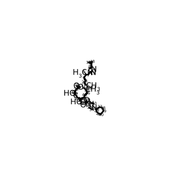 C/C(=C\C=C\[C@@H](C)Cn1cc(C2CC2)nn1)[C@H]1OC(=O)C[C@H](O)CC[C@@](C)(O)[C@@H](OC(=O)N2CCN(C3CCCCCC3)CC2)/C=C/[C@@H]1C